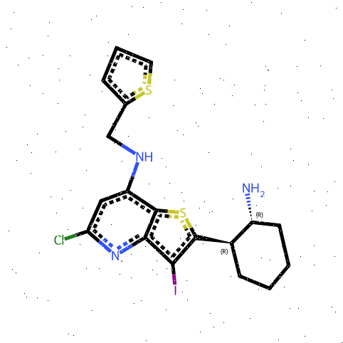 N[C@@H]1CCCC[C@H]1c1sc2c(NCc3cccs3)cc(Cl)nc2c1I